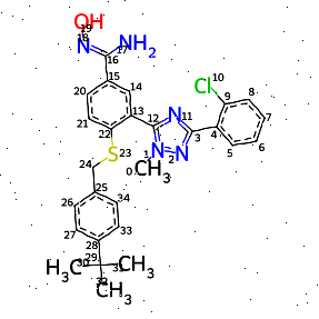 Cn1nc(-c2ccccc2Cl)nc1-c1cc(/C(N)=N/O)ccc1SCc1ccc(C(C)(C)C)cc1